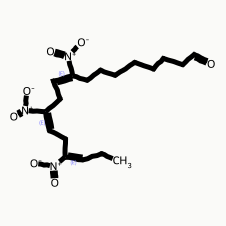 CC/C=C(\C/C=C(\C/C=C(\CCCCCCC[C]=O)[N+](=O)[O-])[N+](=O)[O-])[N+](=O)[O-]